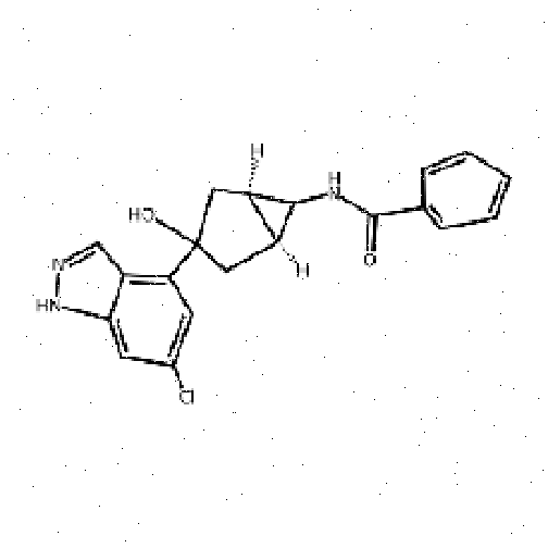 O=C(NC1[C@H]2CC(O)(c3cc(Cl)cc4[nH]ncc34)C[C@@H]12)c1ccccc1